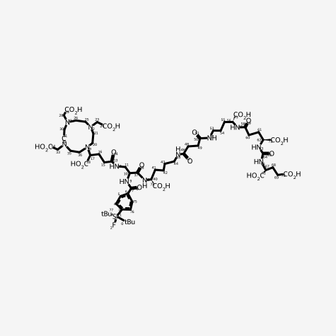 CC(C)(C)[Si](F)(c1ccc(C(=O)NC(CNC(=O)CCC(C(=O)O)N2CCN(CC(=O)O)CCN(CC(=O)O)CCN(CC(=O)O)CC2)C(=O)N[C@H](CCCCNC(=O)CCC(=O)NCCC[C@@H](NC(=O)CC[C@H](NC(=O)N[C@@H](CCC(=O)O)C(=O)O)C(=O)O)C(=O)O)C(=O)O)cc1)C(C)(C)C